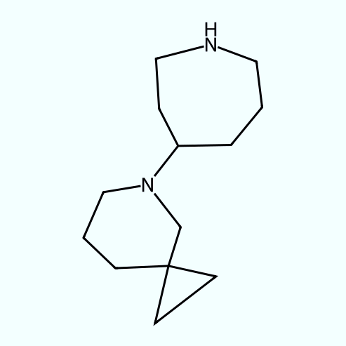 C1CNCCC(N2CCCC3(CC3)C2)C1